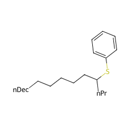 CCCCCCCCCCCCCCCC(CCC)Sc1ccccc1